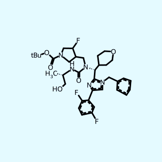 C[C@@H](CO)NC(=O)N(CC1CN(C(=O)OC(C)(C)C)CC1F)[C@@H](c1nc(-c2cc(F)ccc2F)cn1Cc1ccccc1)C1CCOCC1